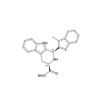 COC(=O)[C@H]1Cc2c([nH]c3ccccc23)[C@@H](c2sc3ccccc3c2C)N1